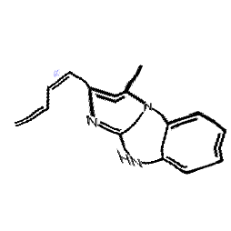 C=C/C=C\c1nc2[nH]c3ccccc3n2c1C